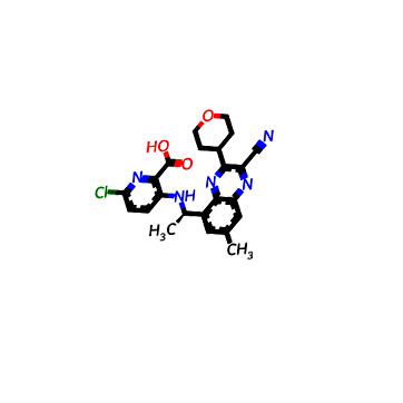 Cc1cc([C@@H](C)Nc2ccc(Cl)nc2C(=O)O)c2nc(C3CCOCC3)c(C#N)nc2c1